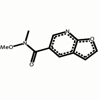 CON(C)C(=O)c1cnc2occc2c1